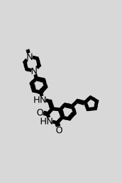 CN1CCN(c2ccc(NC=C3C(=O)NC(=O)c4ccc(C=C5CCCC5)cc43)cc2)CC1